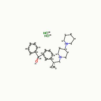 CC(CN1CCC(N2CCCCC2)CC1)c1cccc(C(=O)c2ccccc2)c1.Cl.Cl